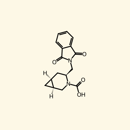 O=C1c2ccccc2C(=O)N1C[C@@H]1C[C@@H]2C[C@@H]2CN1C(=O)O